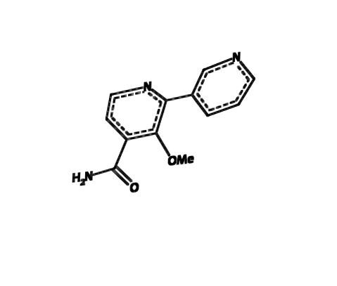 COc1c(C(N)=O)ccnc1-c1cccnc1